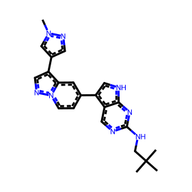 Cn1cc(-c2cnn3ccc(-c4c[nH]c5nc(NCC(C)(C)C)ncc45)cc23)cn1